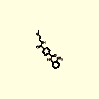 COCCNC(=O)c1ccc(C(=O)Nc2ccccc2N)nc1